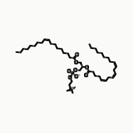 CCCCCCCC/C=C\C/C=C\C/C=C\CCCC(=O)O[C@H](COC(=O)CCCCCCC/C=C\CCCCCCCC)COP(=O)([O-])OCC[N+](C)(C)C